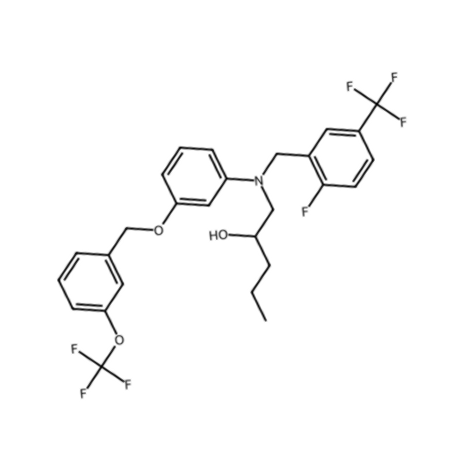 CCCC(O)CN(Cc1cc(C(F)(F)F)ccc1F)c1cccc(OCc2cccc(OC(F)(F)F)c2)c1